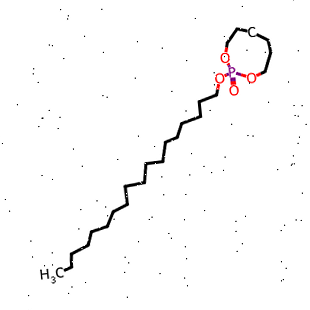 CCCCCCCCCCCCCCCCCCOP1(=O)OCCCCCCO1